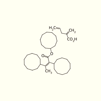 C=CCC(=C)C(=O)O.CC(=C(C(=O)OC1CCCCCCCCC1)C1CCCCCCCCC1)C1CCCCCCCCC1